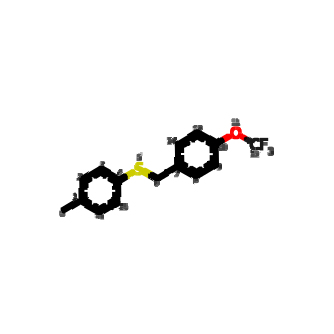 Cc1ccc(SCc2ccc(OC(F)(F)F)cc2)cc1